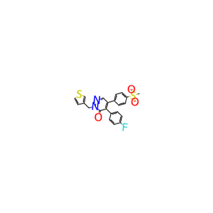 CS(=O)(=O)c1ccc(-c2cnn(Cc3ccsc3)c(=O)c2-c2ccc(F)cc2)cc1